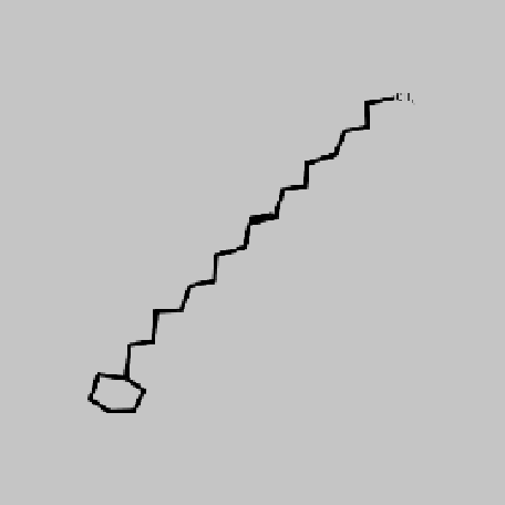 CCCCCCCCC=CCCCCCCCC[C]1CCCCC1